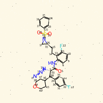 [N-]=[N+]=N[C@H](C(=O)Nc1cccc(F)c1CC[C@H]1CN1S(=O)(=O)c1ccccc1)[C@@H](c1ccc(F)cc1)C1CCOCC1